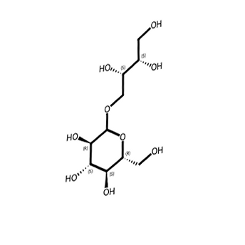 OC[C@H](O)[C@@H](O)COC1O[C@H](CO)[C@@H](O)[C@H](O)[C@H]1O